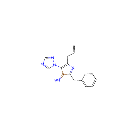 C=CCC1=C(n2cncn2)S(=N)C(Cc2ccccc2)=N1